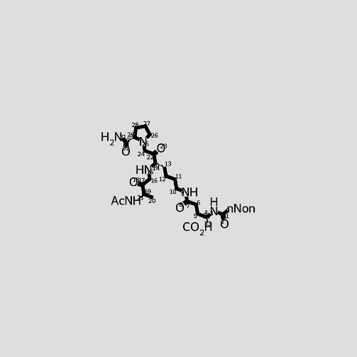 CCCCCCCCCC(=O)N[C@@H](CCC(=O)NCCCC[C@H](NCC(=O)[C@H](C)NC(C)=O)C(=O)CN1CCC[C@H]1C(N)=O)C(=O)O